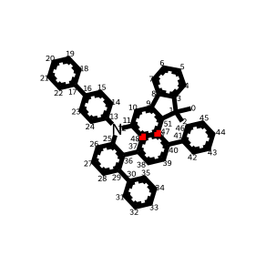 CC1(C)c2ccccc2-c2cc(N(c3ccc(-c4ccccc4)cc3)c3cccc(-c4ccccc4)c3-c3ccc(-c4ccccc4)cc3)ccc21